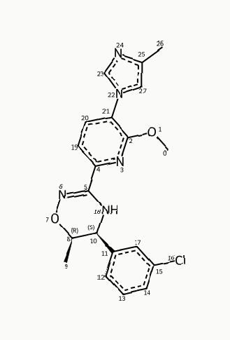 COc1nc(C2=NO[C@H](C)[C@H](c3cccc(Cl)c3)N2)ccc1-n1cnc(C)c1